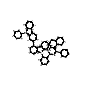 c1ccc(-c2nc(-c3ccccc3-n3c4ccccc4c4c(-c5ccc6c7ccccc7n(-c7ccccc7)c6c5)cccc43)nc3ccc4ccccc4c23)cc1